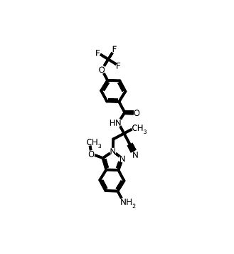 COc1c2ccc(N)cc2nn1CC(C)(C#N)NC(=O)c1ccc(OC(F)(F)F)cc1